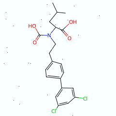 CC(C)CC(C(=O)O)N(CCc1ccc(-c2cc(Cl)cc(Cl)c2)cc1)C(=O)O